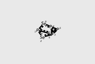 [se]1p2[se]p3p1p3[se]2